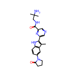 Cc1c(-c2cncc(C(=O)NCC(C)(C)N)n2)[nH]c2ccc(N3CCCC3=O)cc12